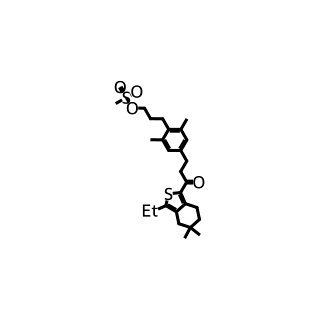 CCc1sc(C(=O)CCc2cc(C)c(CCCOS(C)(=O)=O)c(C)c2)c2c1CC(C)(C)CC2